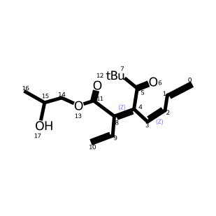 C=C/C=C\C(C(=O)C(C)(C)C)=C(/C=C)C(=O)OCC(C)O